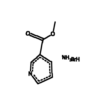 Br.COC(=O)c1cccnc1.N